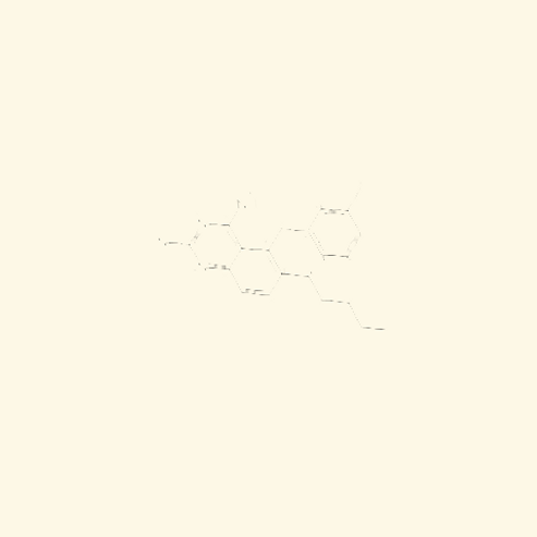 CCCCCc1ccc2nc(N)nc(N)c2c1Cc1cccc(C)c1